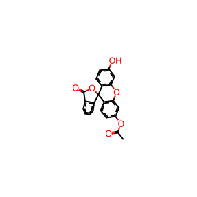 CC(=O)Oc1ccc2c(c1)Oc1cc(O)ccc1C21OC(=O)c2ccccc21